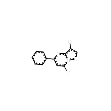 Clc1cc(-c2ccccc2)nc2c(Br)cnn12